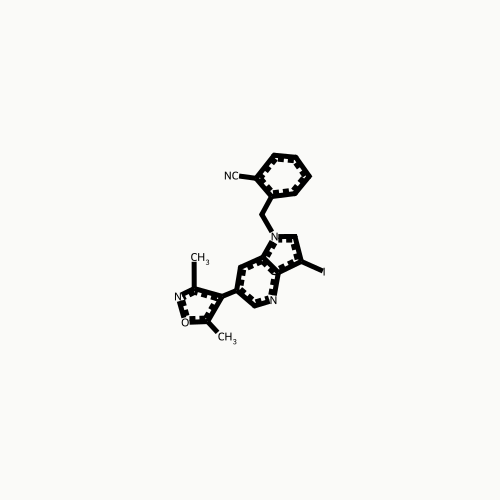 Cc1noc(C)c1-c1cnc2c(I)cn(Cc3ccccc3C#N)c2c1